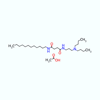 CC(=O)O.CCCCCCCCCCCCNC(=O)CCC(=O)NCCCN(CCCC)CCCC